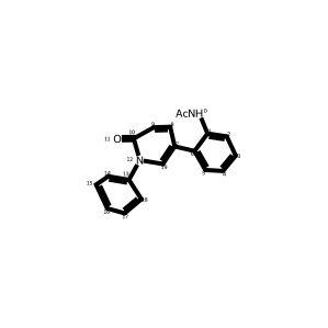 CC(=O)Nc1ccccc1-c1ccc(=O)n(-c2ccccc2)c1